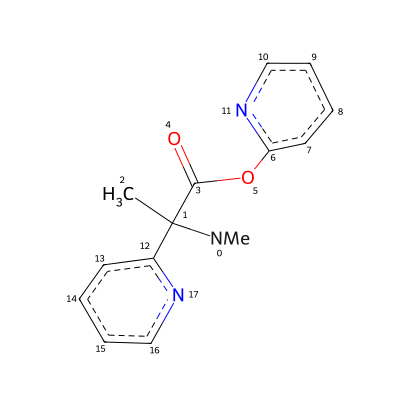 CNC(C)(C(=O)Oc1ccccn1)c1ccccn1